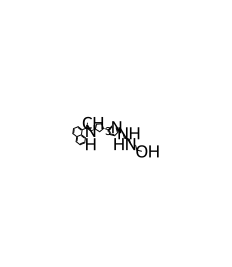 C[C@@H](N[C@H]1CC[C@@H](c2ccc(NCCNCCO)nc2)C1)c1cccc2ccccc12